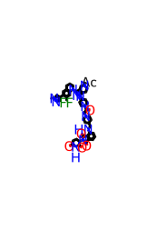 CC(=O)N1CCc2c(c(N3CCCc4cc(-c5cnn(C)c5)c(C(F)F)cc43)nn2C2CCN(C(=O)CN3CCC(CNc4cccc5c4C(=O)N(C4CCC(=O)NC4=O)C5=O)CC3)CC2)C1